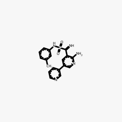 Cc1cccc(NS(=O)(=O)C(=N)c2cc(-c3cccnc3)cnc2N)c1